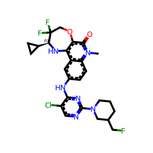 Cn1c(=O)c2c(c3cc(Nc4nc(N5CCCC(CF)C5)ncc4Cl)ccc31)N[C@@H](C1CC1)C(F)(F)CO2